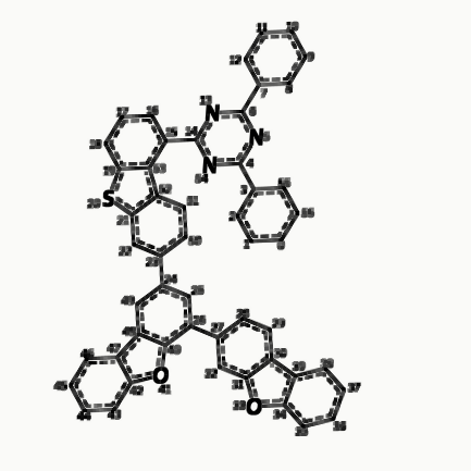 c1ccc(-c2nc(-c3ccccc3)nc(-c3cccc4sc5cc(-c6cc(-c7ccc8c(c7)oc7ccccc78)c7oc8ccccc8c7c6)ccc5c34)n2)cc1